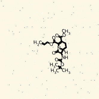 C=CCOC(=O)C1=C(C(=O)OC)CC[C@H]2C(NC(=O)OC(C)(C)C)C(=O)N12